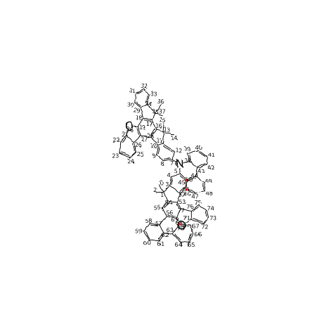 CC1(C)c2cc(N(c3ccc4c(c3)C(C)(C)c3c5c(c6oc7ccccc7c6c3-4)-c3ccccc3C5(C)C)c3ccccc3-c3ccccc3)ccc2-c2c1cc(-c1ccccc1-c1ccccc1)c1oc3ccccc3c21